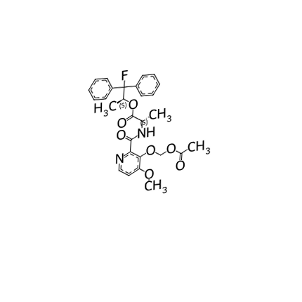 COc1ccnc(C(=O)N[C@@H](C)C(=O)O[C@@H](C)C(F)(c2ccccc2)c2ccccc2)c1OCOC(C)=O